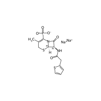 CC1=C(P(=O)([O-])[O-])N2C(=O)[C@@H](NC(=O)Cc3cccs3)[C@H]2SC1.[Na+].[Na+]